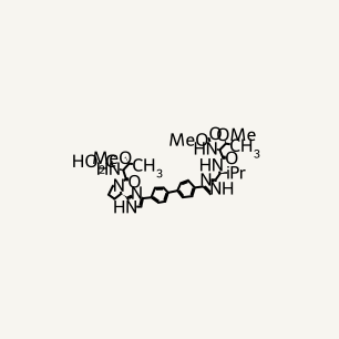 COC(=O)N[C@H](C(=O)N[C@H](c1nc(-c2ccc(-c3ccc(-c4c[nH]c([C@@H]5CCCN5C(=O)[C@@H](NC(=O)O)[C@@H](C)OC)n4)cc3)cc2)c[nH]1)C(C)C)[C@@H](C)OC